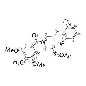 COc1cc(C(=O)N(CCCc2c(F)cccc2F)CCSOC(C)=O)cc(OC)c1C